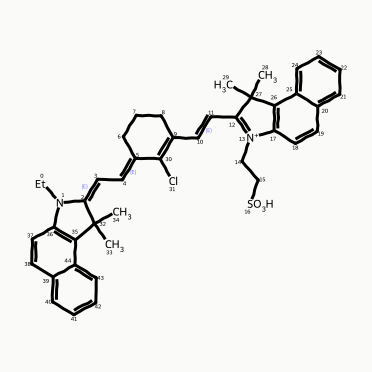 CCN1/C(=C/C=C2\CCCC(/C=C/C3=[N+](CCS(=O)(=O)O)c4ccc5ccccc5c4C3(C)C)=C2Cl)C(C)(C)c2c1ccc1ccccc21